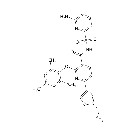 CCn1cc(-c2ccc(C(=O)NS(=O)(=O)c3cccc(N)n3)c(Oc3c(C)cc(C)cc3C)n2)cn1